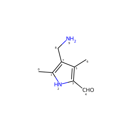 Cc1[nH]c(C=O)c(C)c1CN